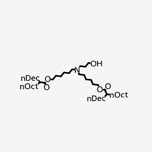 CCCCCCCCCCC(CCCCCCCC)C(=O)OCCCCCCN(CCCO)CCCCCCOC(=O)C(CCCCCCCC)CCCCCCCCCC